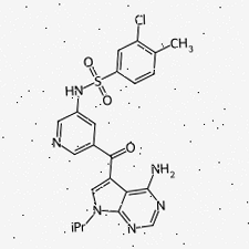 Cc1ccc(S(=O)(=O)Nc2cncc(C(=O)c3cn(C(C)C)c4ncnc(N)c34)c2)cc1Cl